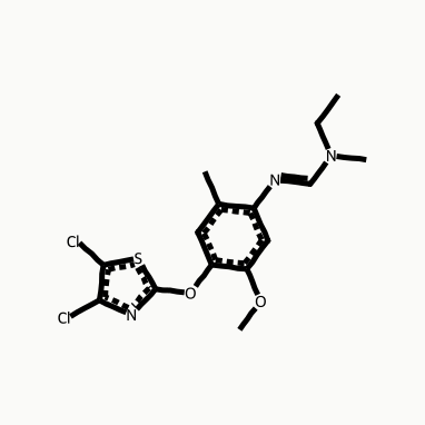 CCN(C)C=Nc1cc(OC)c(Oc2nc(Cl)c(Cl)s2)cc1C